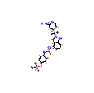 [2H]C([2H])([2H])Oc1ccc(NC(=O)Nc2cccc3[nH]c(C([2H])([2H])c4ccnc(N)c4)cc23)cc1